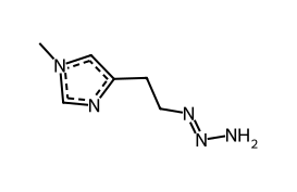 Cn1cnc(CCN=NN)c1